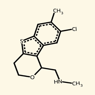 CNCC1OCCc2sc3cc(C)c(Cl)cc3c21